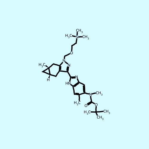 Cc1cc2[nH]c(-c3nn(COCC[Si](C)(C)C)c4c3C[C@@H]3C[C@]3(C)C4)nc2cc1N(C)C(=O)OC(C)(C)C